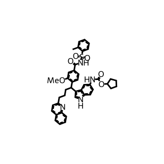 COc1cc(C(=O)NS(=O)(=O)c2ccccc2C)ccc1C(CCCc1ccc2ccccc2n1)c1c[nH]c2ccc(NC(=O)OC3CCCC3)cc12